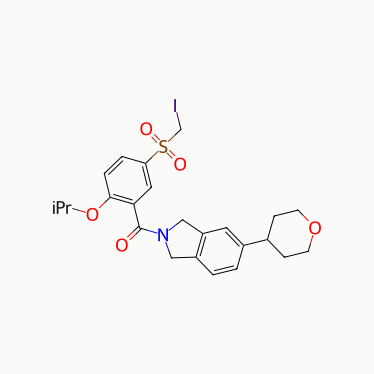 CC(C)Oc1ccc(S(=O)(=O)CI)cc1C(=O)N1Cc2ccc(C3CCOCC3)cc2C1